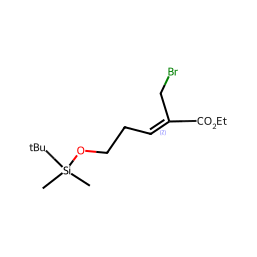 CCOC(=O)/C(=C/CCO[Si](C)(C)C(C)(C)C)CBr